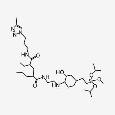 CCCC(CC(CC)C(=O)NCCCn1cc(C)nn1)C(=O)NCCNC1CCC(CC[Si](OC)(OC(C)C)OC(C)C)CC1O